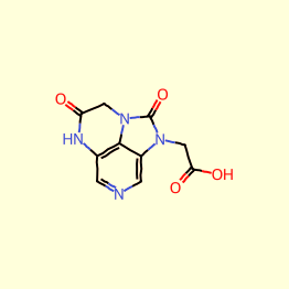 O=C(O)Cn1c(=O)n2c3c(cncc31)NC(=O)C2